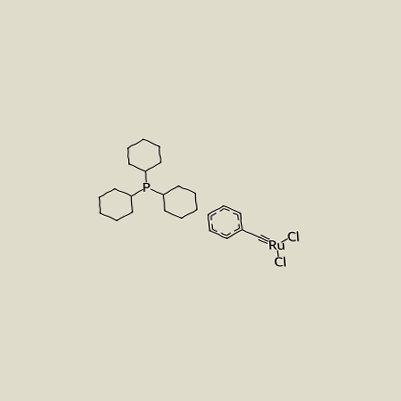 C1CCC(P(C2CCCCC2)C2CCCCC2)CC1.[Cl][Ru]([Cl])#[C]c1ccccc1